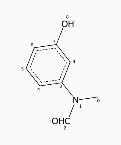 CN([C]=O)c1cccc(O)c1